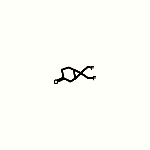 O=C1CCC2C(C1)C2(CF)CF